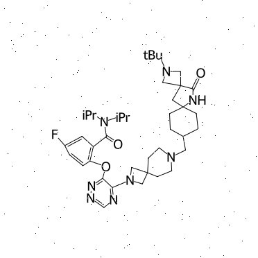 CC(C)N(C(=O)c1cc(F)ccc1Oc1nncnc1N1CC2(CCN(CC3CCC4(CC3)CC3(CN(C(C)(C)C)C3)C(=O)N4)CC2)C1)C(C)C